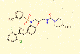 CC(=Cc1ccc2c(c1)N(S(=O)(=O)c1cccc(C(F)(F)F)c1)CC(CNC(=O)N1CCC(C(=O)O)CC1)O2)c1c(F)cccc1Cl